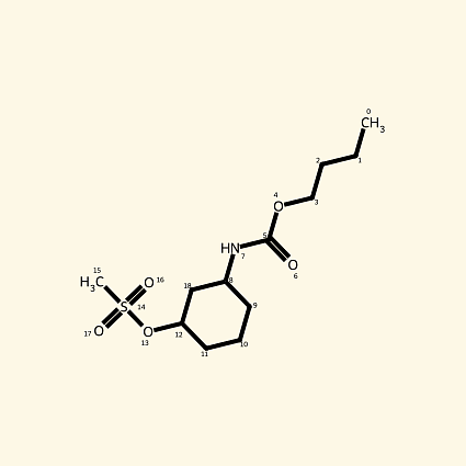 CCCCOC(=O)NC1CCCC(OS(C)(=O)=O)C1